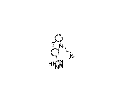 CN(C)CCCN1c2ccccc2Sc2ccc(-c3nnn[nH]3)cc21